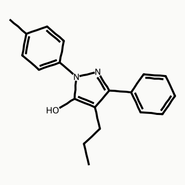 CCCc1c(-c2ccccc2)nn(-c2ccc(C)cc2)c1O